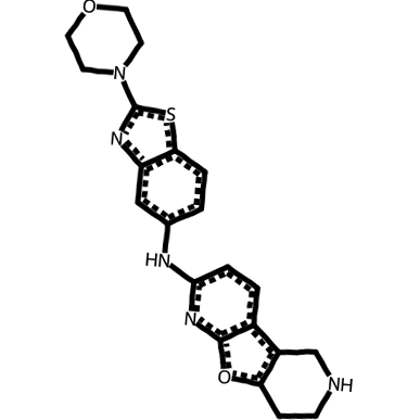 c1cc2sc(N3CCOCC3)nc2cc1Nc1ccc2c3c(oc2n1)CCNC3